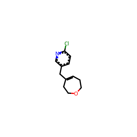 Clc1ccc(CC2=CCCOCC2)cn1